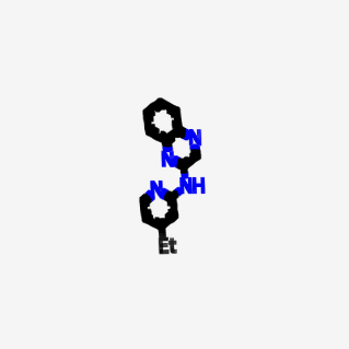 CCc1ccnc(Nc2cnc3ccccc3n2)c1